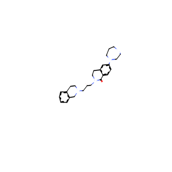 O=C1c2ccc(N3CCCNCC3)cc2CCN1C[C@H](O)CN1CCc2ccccc2C1